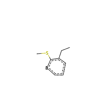 CCc1cccbc1SC